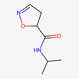 CC(C)NC(=O)C1CC=NO1